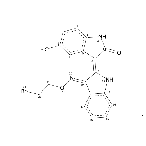 O=C1Nc2ccc(F)cc2/C1=C1/Nc2ccccc2/C1=N\OCCBr